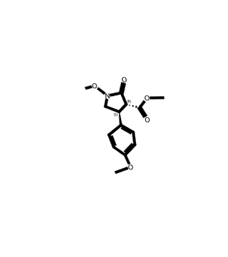 COC(=O)[C@H]1C(=O)N(OC)C[C@@H]1c1ccc(OC)cc1